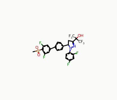 CS(=O)(=O)c1c(F)cc(-c2ccc(C3CC(C(O)(C(F)(F)F)C(F)(F)F)=NN3c3ccc(F)cc3F)cc2)cc1F